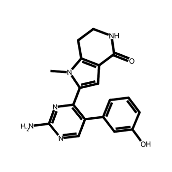 Cn1c(-c2nc(N)ncc2-c2cccc(O)c2)cc2c1CCNC2=O